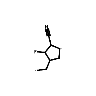 [CH2]CC1C[CH]C(C#N)C1F